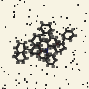 c1ccc(-c2ccc(-c3ccccc3N(c3ccc(-c4cccc5ccccc45)cc3)c3cccc(-c4ccccc4)c3-c3ccccc3-c3ccccc3)cc2)cc1